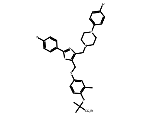 CCOC(=O)C(C)(C)Oc1ccc(SCc2sc(-c3ccc(F)cc3)nc2CN2CCN(c3ccc(C(C)=O)cc3)CC2)cc1C